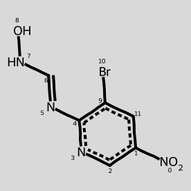 O=[N+]([O-])c1cnc(/N=C/NO)c(Br)c1